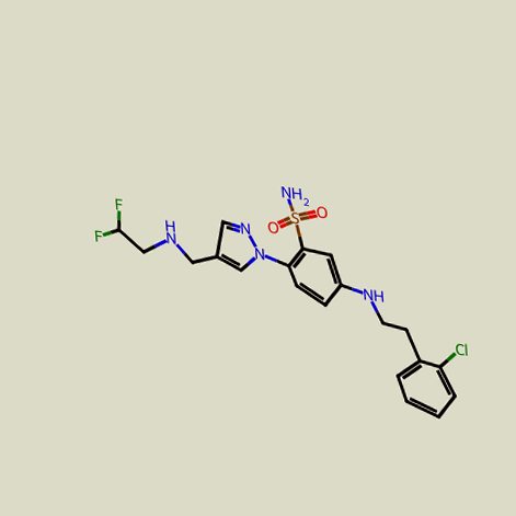 NS(=O)(=O)c1cc(NCCc2ccccc2Cl)ccc1-n1cc(CNCC(F)F)cn1